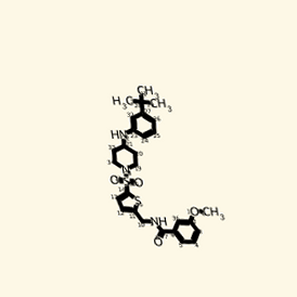 COc1cccc(C(=O)NCc2ccc(S(=O)(=O)N3CCC(Nc4cccc(C(C)(C)C)c4)CC3)s2)c1